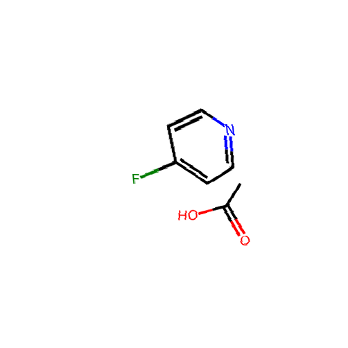 CC(=O)O.Fc1ccncc1